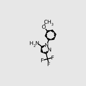 COc1cccc(-n2nc(C(F)(F)F)cc2N)c1